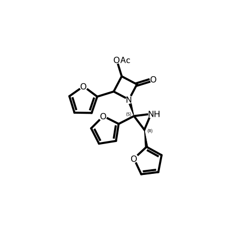 CC(=O)OC1C(=O)N([C@@]2(c3ccco3)N[C@H]2c2ccco2)C1c1ccco1